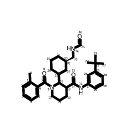 Cc1ccccc1C(=O)N1CCCC(C(=O)Nc2cccc(C(C)(C)C)c2)C1C1CCC[C@@H](CNC=O)C1